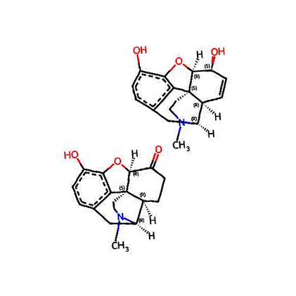 CN1CC[C@]23c4c5ccc(O)c4O[C@H]2C(=O)CC[C@H]3[C@H]1C5.CN1CC[C@]23c4c5ccc(O)c4O[C@H]2[C@@H](O)C=C[C@H]3[C@H]1C5